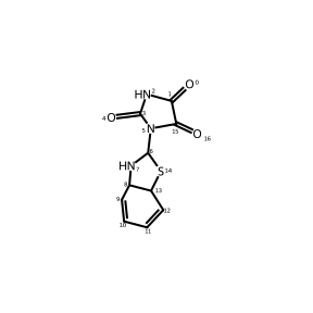 O=C1NC(=O)N(C2NC3C=CC=CC3S2)C1=O